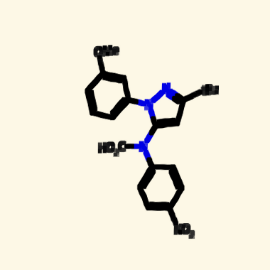 COc1cccc(-n2nc(C(C)(C)C)cc2N(C(=O)O)c2ccc([N+](=O)[O-])cc2)c1